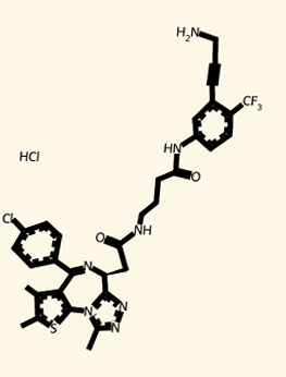 Cc1sc2c(c1C)C(c1ccc(Cl)cc1)=N[C@@H](CC(=O)NCCCC(=O)Nc1ccc(C(F)(F)F)c(C#CCN)c1)c1nnc(C)n1-2.Cl